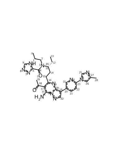 CCCN(C(=O)c1nnc[nH]1)[C@H](CC)CCc1nc2c(-c3ccc(-n4cnc(C)c4)nc3)cnn2c(N)c1C(C)=O